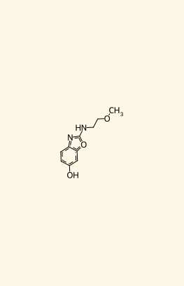 COCCNc1nc2ccc(O)cc2o1